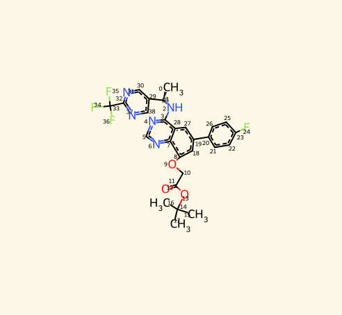 C[C@@H](Nc1ncnc2c(OCC(=O)OC(C)(C)C)cc(-c3ccc(F)cc3)cc12)c1cnc(C(F)(F)F)nc1